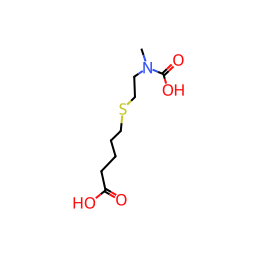 CN(CCSCCCCC(=O)O)C(=O)O